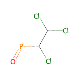 O=PC(Cl)C(Cl)Cl